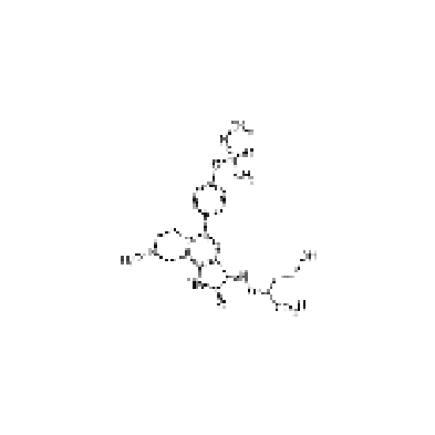 CN=S(C)(=O)Oc1ccc(-c2cc3c(c4c2CCN(C)C4)NC(=O)/C3=N\OC(CCO)C(=O)O)cc1